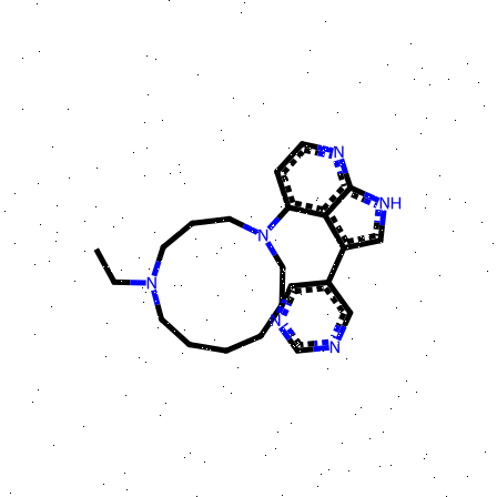 CCN1CCCCCCN(c2ccnc3[nH]cc(-c4cncnc4)c23)CCC1